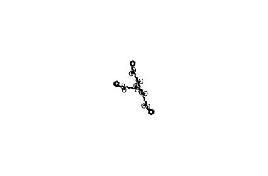 O=C(CCCCC(=O)OCC(COC(=O)CCCCC(=O)OCc1ccccc1)OC(=O)CCCCC(=O)OCc1ccccc1)OCc1ccccc1